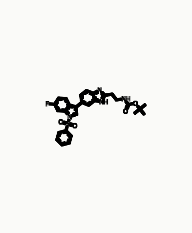 CC(C)(C)OC(=O)NCCc1nc2ccc(-c3cn(S(=O)(=O)c4ccccc4)c4cc(F)ccc34)cc2[nH]1